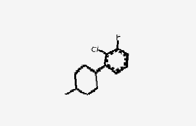 CC1CCC(c2cccc(F)c2Cl)CC1